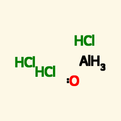 Cl.Cl.Cl.[AlH3].[O]